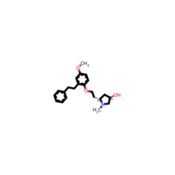 COc1ccc(OCC[C@@H]2C[C@@H](O)CN2C)c(CCc2ccccc2)c1